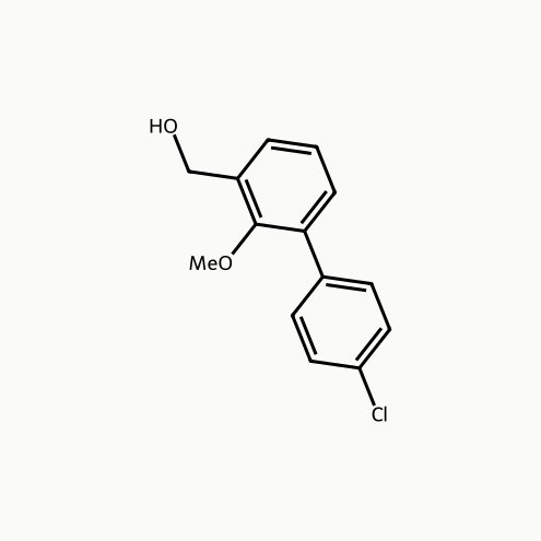 COc1c(CO)cccc1-c1ccc(Cl)cc1